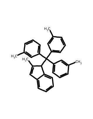 CC1=Cc2ccccc2C1C(c1cccc(C)c1)(c1cccc(C)c1)c1cccc(C)c1